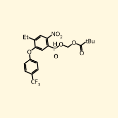 CCc1cc([N+](=O)[O-])c([PH](=O)OCOC(=O)C(C)(C)C)cc1Oc1ccc(C(F)(F)F)cc1